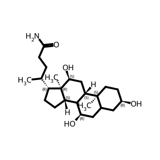 CC(CCC(N)=O)[C@H]1CC[C@H]2C3[C@H](O)CC4C[C@H](O)CC[C@]4(C)[C@H]3C[C@H](O)[C@]12C